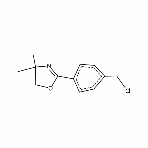 CC1(C)COC(c2ccc(CCl)cc2)=N1